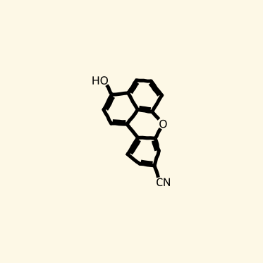 N#Cc1ccc2c(c1)Oc1cccc3c(O)ccc-2c13